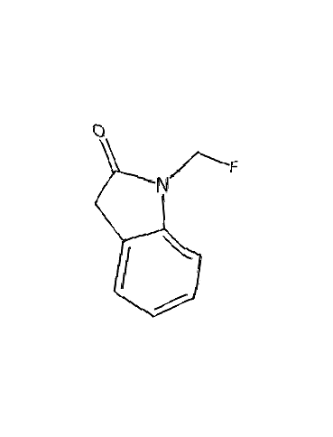 O=C1Cc2ccccc2N1CF